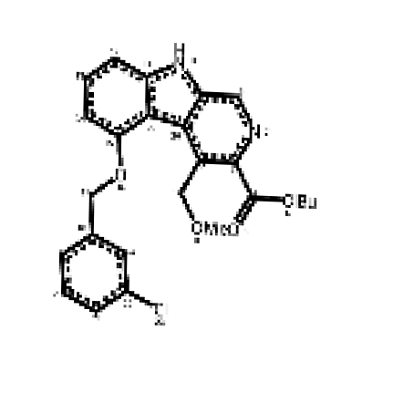 COCc1c(C(=O)OCC(C)C)ncc2[nH]c3cccc(OCc4cccc(Cl)c4)c3c12